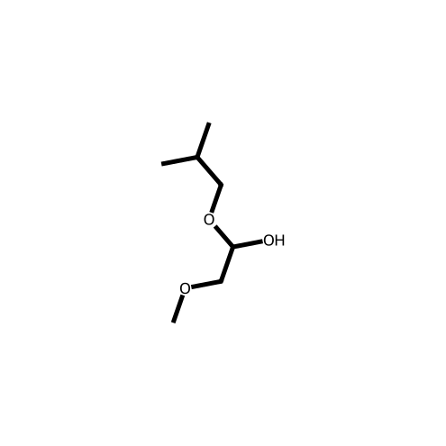 COCC(O)OCC(C)C